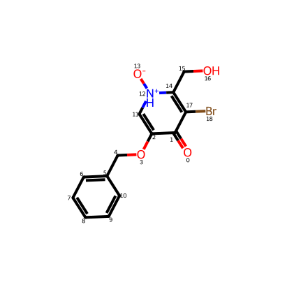 O=C1C(OCc2ccccc2)=C[NH+]([O-])C(CO)=C1Br